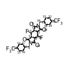 O=c1c2c(F)c3c(=O)n(Cc4ccc(C(F)(F)F)cc4)c(=O)c3c(F)c2c(=O)n1Cc1ccc(C(F)(F)F)cc1